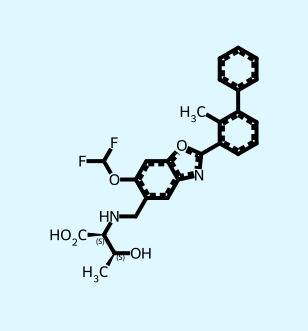 Cc1c(-c2ccccc2)cccc1-c1nc2cc(CN[C@H](C(=O)O)[C@H](C)O)c(OC(F)F)cc2o1